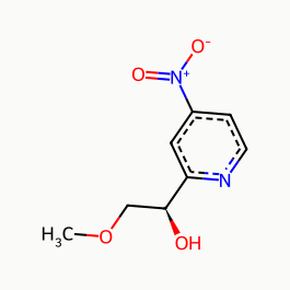 COC[C@H](O)c1cc([N+](=O)[O-])ccn1